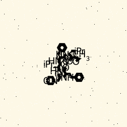 CC(C)C[C@H](NC(=O)C(CCc1ccccc1)NC(=O)CN1CCOCC1)C(=O)N[C@@H](Cc1ccccc1)C(=O)N[C@@H](CC(C)C)C(=O)[C@@]1(C)CO1